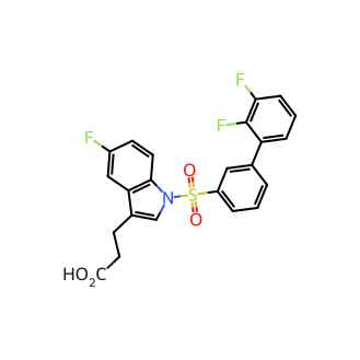 O=C(O)CCc1cn(S(=O)(=O)c2cccc(-c3cccc(F)c3F)c2)c2ccc(F)cc12